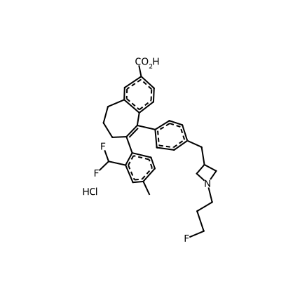 Cc1ccc(C2=C(c3ccc(CC4CN(CCCF)C4)cc3)c3ccc(C(=O)O)cc3CCC2)c(C(F)F)c1.Cl